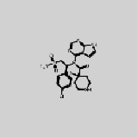 NC1(C(=O)N(c2ncnc3[nH]ccc23)C(CS(N)(=O)=O)c2ccc(Cl)cc2)CCNCC1